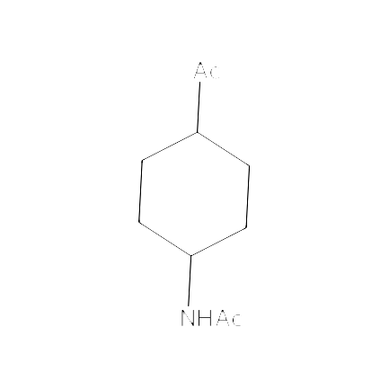 CC(=O)NC1CCC(C(C)=O)CC1